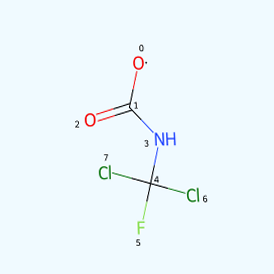 [O]C(=O)NC(F)(Cl)Cl